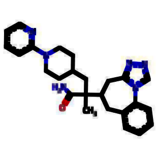 CC(CC1CCN(c2ccccn2)CC1)(C(N)=O)C1Cc2ccccc2-n2cnnc2C1